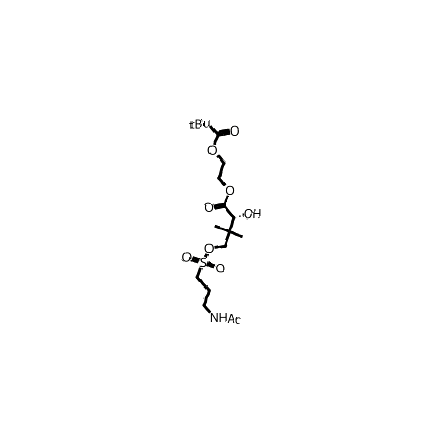 CC(=O)NCCCS(=O)(=O)OCC(C)(C)[C@@H](O)C(=O)OCCOC(=O)C(C)(C)C